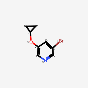 Brc1cncc(OC2CC2)c1